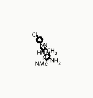 CNc1nc(Nc2cn(-c3ccc(Cl)cc3)nc2C)ncc1N